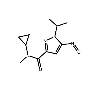 CC(C)n1nc(C(=O)N(C)C2CC2)cc1N=O